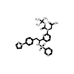 CC(C)(C)OC(=O)N(CC(=O)O)c1cccc(C(Cc2ccc(-n3cccn3)cc2)NS(=O)(=O)c2cccnc2)n1